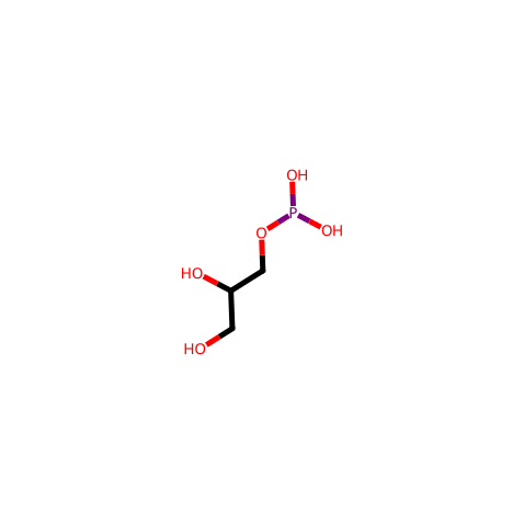 OCC(O)COP(O)O